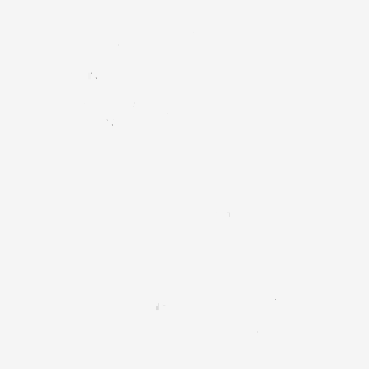 CCCC1=CC2C(COC2(C(F)(F)F)C(F)(F)F)C(CCC)=C1OCCCCN1C(=O)NC(C)(C2=CCCC=C2)C1=O